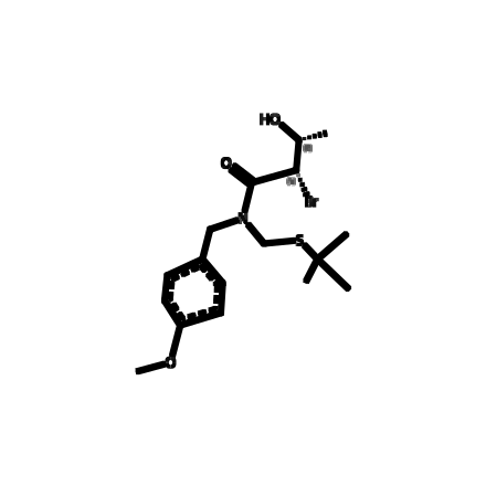 COc1ccc(CN(CSC(C)(C)C)C(=O)[C@@H](Br)[C@@H](C)O)cc1